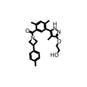 Cc1ccc(C2CN(C(=O)c3cc(-c4[nH]nc(OCCO)c4C)c(C)cc3C)C2)cc1